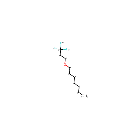 CCCCCCCOC[CH]C(F)(F)F